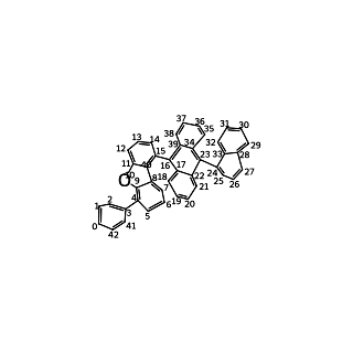 c1ccc(-c2cccc3c2oc2cccc(-c4c5ccccc5c(-c5cccc6ccccc56)c5ccccc45)c23)cc1